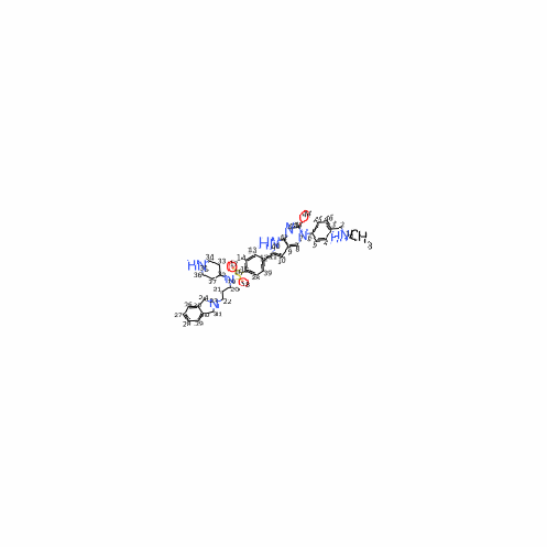 CNCc1ccc(-n2cc3cc(-c4ccc(S(=O)(=O)N(CCCN5Cc6ccccc6C5)C5CCNCC5)cc4)[nH]c3nc2=O)cc1